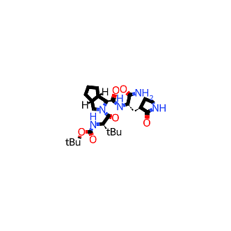 CC(C)(C)OC(=O)N[C@H](C(=O)N1C[C@@H]2CCC[C@@H]2[C@H]1C(=O)N[C@@H](C[C@@H]1CCNC1=O)C(N)=O)C(C)(C)C